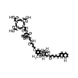 Cc1cc(OCCCC(=O)NCCNC(=O)C(CS(=O)(=O)O)NC(=O)CN2CCN(CC(=O)O)CCN(CC(=O)O)CCN(CC(=O)O)CC2)cc(C)c1S(=O)(=O)NC(CNC(=O)CCCCc1ccc2c(n1)NCCC2)C(=O)O